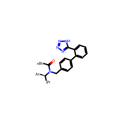 CCCCC(=O)N(Cc1ccc(-c2ccccc2-c2nnn[nH]2)cc1)[C@H](C(C)=O)C(C)C